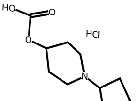 Cl.O=C(O)OC1CCN(C2CCCC2)CC1